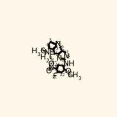 C=C(c1ccccc1NC)c1nc(Nc2cc([N+](=O)[O-])c(F)cc2OC)ncc1C#N